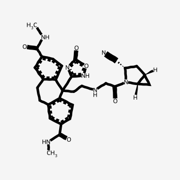 CNC(=O)c1ccc2c(c1)CCc1cc(C(=O)NC)ccc1C2(CCNCC(=O)N1[C@H](C#N)C[C@@H]2C[C@@H]21)c1nc(=O)o[nH]1